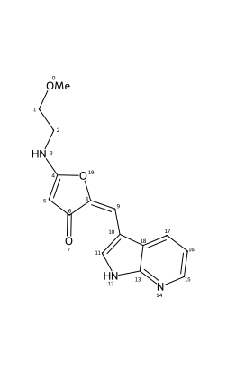 COCCNC1=CC(=O)C(=Cc2c[nH]c3ncccc23)O1